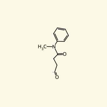 CN(C(=O)CC[C]=O)c1ccccc1